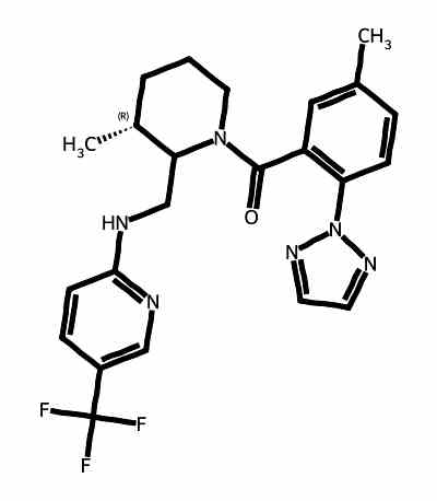 Cc1ccc(-n2nccn2)c(C(=O)N2CCC[C@@H](C)C2CNc2ccc(C(F)(F)F)cn2)c1